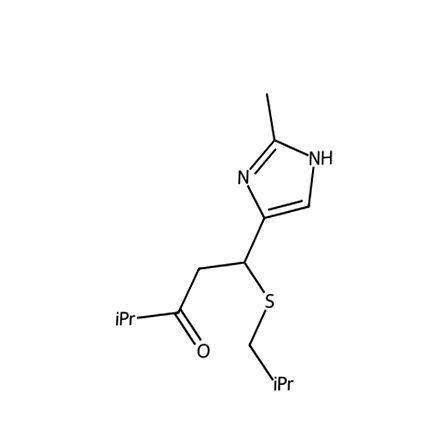 Cc1nc(C(CC(=O)C(C)C)SCC(C)C)c[nH]1